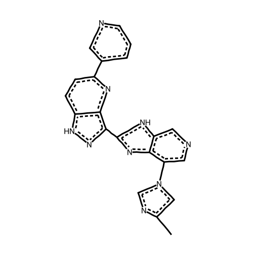 Cc1cn(-c2cncc3[nH]c(-c4n[nH]c5ccc(-c6cccnc6)nc45)nc23)cn1